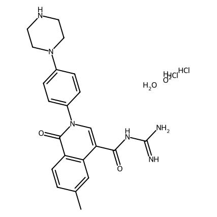 Cc1ccc2c(=O)n(-c3ccc(N4CCNCC4)cc3)cc(C(=O)NC(=N)N)c2c1.Cl.Cl.O.O